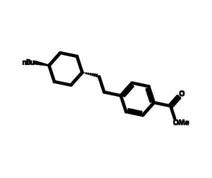 CCCC[C@H]1CC[C@H](CCc2ccc(C(=O)OC)cc2)CC1